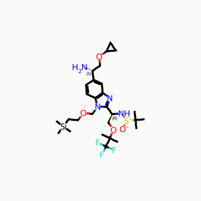 CC(C)(C)[S+]([O-])N[C@@H](COC(C)(C)C(F)(F)F)c1nc2cc([C@H](N)COC3CC3)ccc2n1COCC[Si](C)(C)C